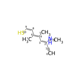 C#C/C(=C/C(C)=C(C)/C=C\S)NC